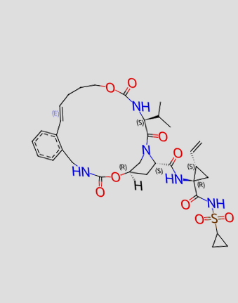 C=C[C@@H]1C[C@]1(NC(=O)[C@@H]1C[C@@H]2CN1C(=O)[C@H](C(C)C)NC(=O)OCCC/C=C/c1ccccc1CNC(=O)O2)C(=O)NS(=O)(=O)C1CC1